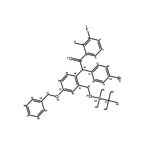 Cc1c(F)cccc1C(=O)C(c1ccc(Br)cc1)c1ccc(OCc2ccccc2)cc1CO[Si](C)(C)C(C)(C)C